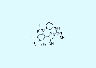 CCCNC1CN(/C(=N\C#N)Nc2cccc(OC(F)F)c2)N=C1c1ccc(Cl)c(C)c1